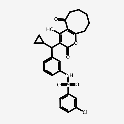 O=C1CCCCCc2oc(=O)c(C(c3cccc(NS(=O)(=O)c4cccc(Cl)c4)c3)C3CC3)c(O)c21